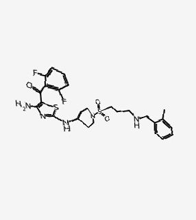 Cc1ccccc1CNCCCS(=O)(=O)N1CCC(Nc2nc(N)c(C(=O)c3c(F)cccc3F)s2)CC1